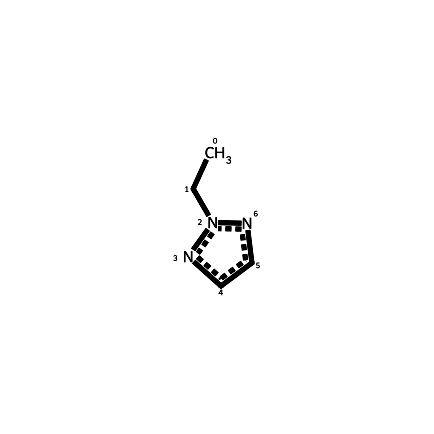 C[CH]n1nccn1